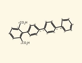 O=C(O)c1cccc(C(=O)O)c1-c1ccc(-c2ccc(-c3ccccc3)cc2)cc1